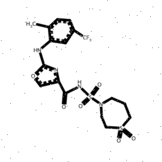 Cc1ccc(C(F)(F)F)cc1Nc1nc(C(=O)NS(=O)(=O)N2CCCS(=O)(=O)CC2)co1